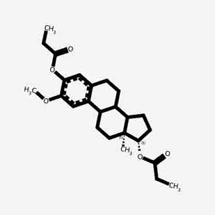 CCC(=O)Oc1cc2c(cc1OC)C1CC[C@@]3(C)C(CC[C@@H]3OC(=O)CC)C1CC2